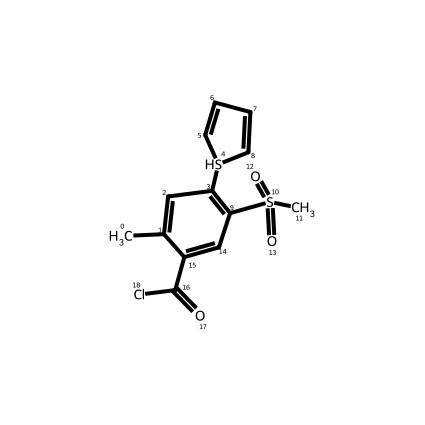 Cc1cc([SH]2C=CC=C2)c(S(C)(=O)=O)cc1C(=O)Cl